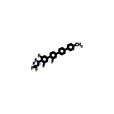 Cc1ccc(-c2ccc(-c3ccc(-c4cc(F)c(/C(F)=C/C(F)(F)F)c(F)c4)c(F)c3)cc2)cc1